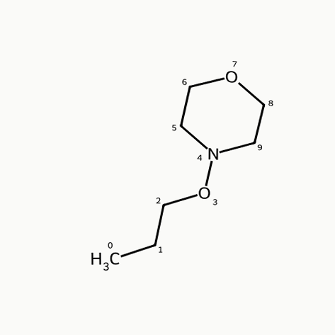 CCCON1CCOCC1